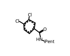 CCCC(C)NC(=O)c1ccc(Cl)c(Cl)c1